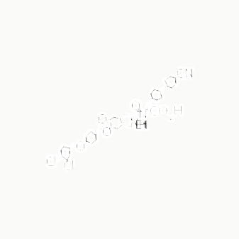 CCN1Cc2cc3c(cc2C[C@H]1C(=O)NC(Cc1ccc(-c2ccc(C#N)cc2)cc1)C(=O)O)OC[C@H](c1ccc(OCc2ccc(Cl)c(Cl)c2)cc1)O3